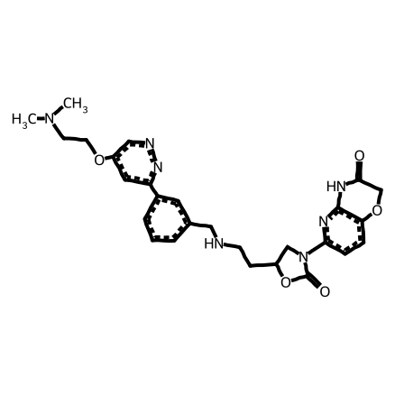 CN(C)CCOc1cnnc(-c2cccc(CNCCC3CN(c4ccc5c(n4)NC(=O)CO5)C(=O)O3)c2)c1